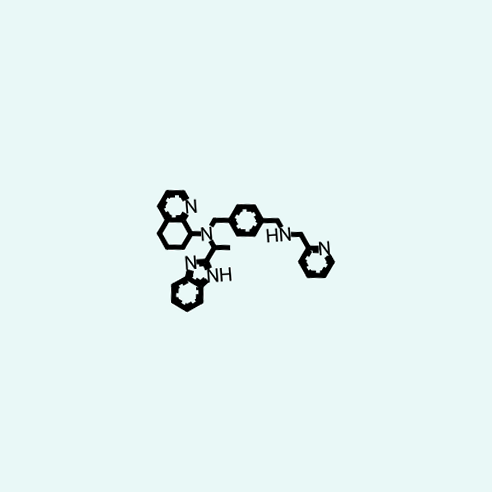 CC(c1nc2ccccc2[nH]1)N(Cc1ccc(CNCc2ccccn2)cc1)C1CCCc2cccnc21